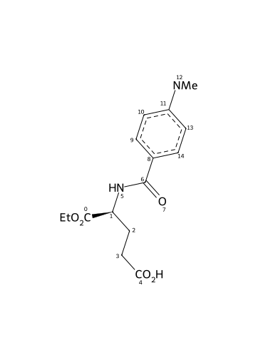 CCOC(=O)[C@H](CCC(=O)O)NC(=O)c1ccc(NC)cc1